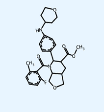 COC(=O)C1CC2COCC2N(C(=O)c2c(C)cccc2F)C1c1ccc(NC2CCOCC2)cc1